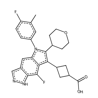 Cc1cc(-n2c(C3CCOCC3)c(C3CC(C(=O)O)C3)c3c(F)c4[nH]ncc4cc32)ccc1F